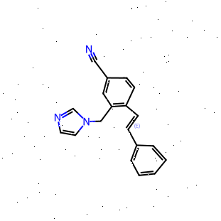 N#Cc1ccc(/C=C/c2ccccc2)c(Cn2ccnc2)c1